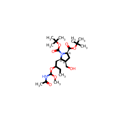 CCC(C[C@@H]1[C@H](CO)C[C@H](C(=O)OC(C)(C)C)N1C(=O)OC(C)(C)C)OC(NC(C)=O)OC